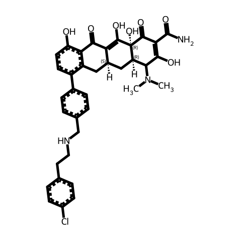 CN(C)C1C(O)=C(C(N)=O)C(=O)[C@]2(O)C(O)=C3C(=O)c4c(O)ccc(-c5ccc(CNCCc6ccc(Cl)cc6)cc5)c4C[C@@H]3C[C@H]12